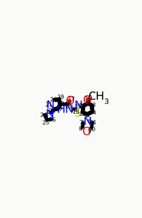 COc1ccc(N2CCOCC2)c2sc(NC(=O)c3ccnc(N4CCC4)c3)nc12